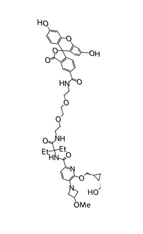 CCC(CC)(NC(=O)c1ccc(N2CC(OC)C2)c(OC[C@H]2C[C@@H]2CO)n1)C(=O)NCCOCCOCCNC(=O)c1ccc2c(c1)C(=O)OC21c2ccc(O)cc2Oc2cc(O)ccc21